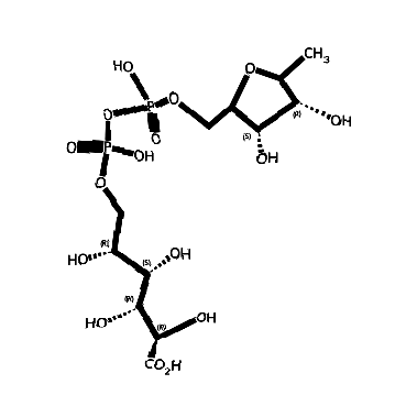 CC1OC(COP(=O)(O)OP(=O)(O)OC[C@@H](O)[C@H](O)[C@@H](O)[C@@H](O)C(=O)O)[C@@H](O)[C@H]1O